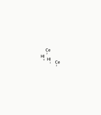 I.I.[Ce].[Ce]